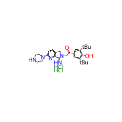 CC(C)(C)c1cc(C(=O)CN2Cc3ccc(N4CCNCC4)nc3C2=N)cc(C(C)(C)C)c1O.Cl.Cl